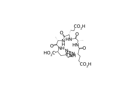 C[C@H](NC(=O)[C@H](CCC(=O)O)NC(=O)[C@H](C)NC(=O)[C@@H](N)CCC(=O)O)C(=O)N[C@@H](Cc1c[nH]cn1)C(=O)O